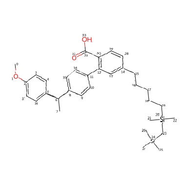 COc1ccc(C(C)c2ccc(-c3cc(CCCCC[Si](C)(C)C[Si](C)(C)C)ccc3C(=O)O)cc2)cc1